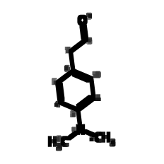 CN(C)c1ccc(CC=O)cc1